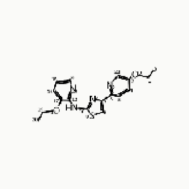 CCOc1ccc(-c2csc(Nc3ncccc3OCC)n2)nc1